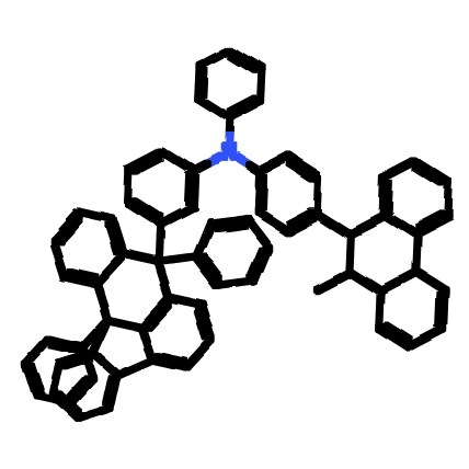 CC1C(c2ccc(N(c3ccccc3)c3cccc(C4(c5ccccc5)c5ccccc5C5(c6ccccc6)c6ccccc6-c6cccc4c65)c3)cc2)c2ccccc2C2C=CC=CC21